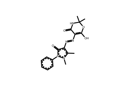 Cc1c(/N=N/C2=C(O)OC(C)(C)NC2=O)c(=O)n(-c2ccccc2)n1C